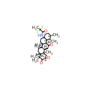 C[C@@H]1[C@H]2[C@H]3C(=O)C=C4[C@@]5(C)C6O[C@@]6(C#N)C(=O)C(C)(C)[C@@H]5CC[C@@]4(C)[C@]3(C)CC[C@@]2(NC(=O)C(C)(F)F)CC[C@H]1C